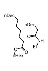 CCCCCCCCCCCC(=O)NCC.CCCCCCCCCCCCCCCC(=O)OCCCCCC